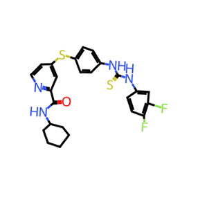 O=C(NC1CCCCC1)c1cc(Sc2ccc(NC(=S)Nc3ccc(F)c(F)c3)cc2)ccn1